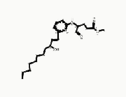 CCCCCCCCC(O)C=Cc1cccc(NC(C=O)CCC(=O)OC)n1